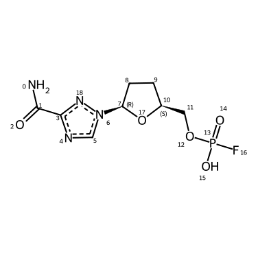 NC(=O)c1ncn([C@H]2CC[C@@H](COP(=O)(O)F)O2)n1